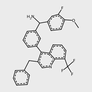 COc1ccc(C(N)c2cccc(-c3c(Cc4ccccc4)cnc4c(C(F)(F)F)cccc34)c2)cc1F